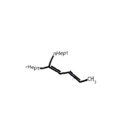 C/C=C/C=C(CCCCCCC)CCCCCCC